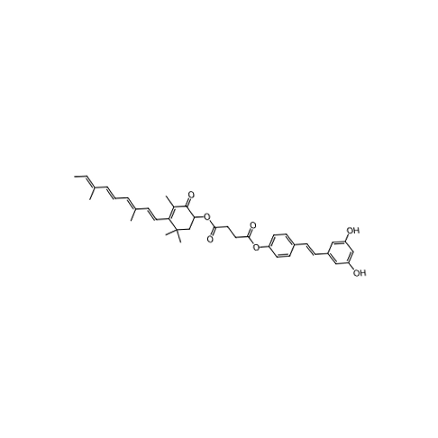 C/C=C(C)/C=C/C=C(C)/C=C/C1=C(C)C(=O)C(OC(=O)CCC(=O)Oc2ccc(/C=C/c3cc(O)cc(O)c3)cc2)CC1(C)C